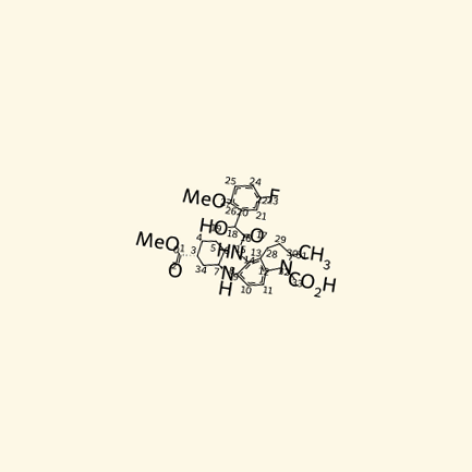 COC(=O)[C@@H]1CCC[C@@H](Nc2ccc3c(c2NC(=O)C(O)c2cc(F)ccc2OC)CCC(C)N3C(=O)O)C1